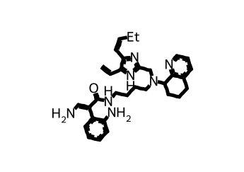 C=Cc1[nH]c(CN(CCCCNC(=O)/C(=C/N)c2ccccc2N)C2CCCc3cccnc32)nc1/C=C\CC